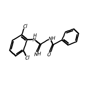 N=C(NC(=O)c1ccccc1)Nc1c(Cl)cccc1Cl